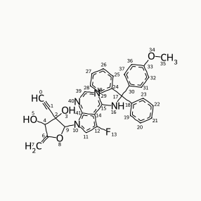 C#CC1(O)C(O)C(=C)OC1n1cc(F)c2c(NC(c3ccccc3)(c3ccccc3)c3ccc(OC)cc3)ncnc21